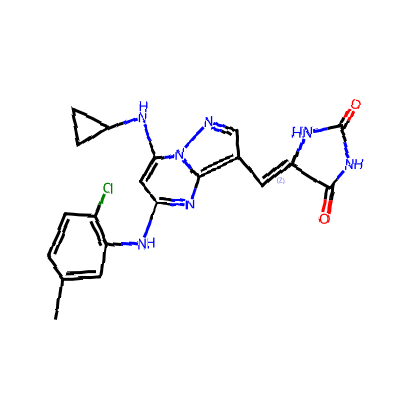 Cc1ccc(Cl)c(Nc2cc(NC3CC3)n3ncc(/C=C4\NC(=O)NC4=O)c3n2)c1